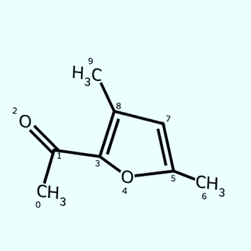 CC(=O)c1oc(C)cc1C